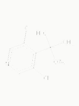 CC(=O)OC(C)(C)c1c(Cl)cncc1Cl